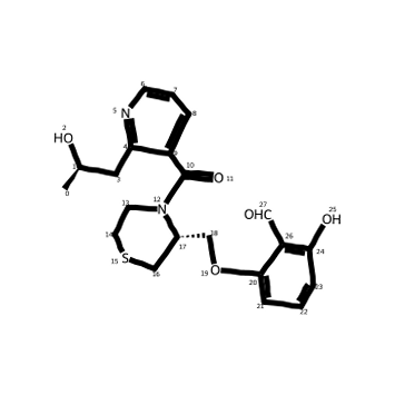 C[C@@H](O)Cc1ncccc1C(=O)N1CCSC[C@H]1COc1cccc(O)c1C=O